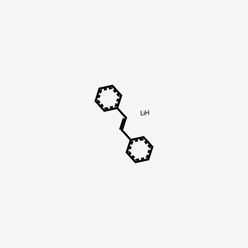 C(=Cc1ccccc1)c1ccccc1.[LiH]